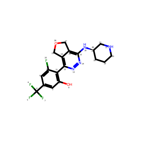 Oc1cc(C(F)(F)F)cc(F)c1-c1nnc(N[C@@H]2CCCNC2)c2c1COC2